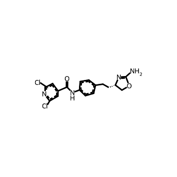 NC1=N[C@@H](CCc2ccc(NC(=O)c3cc(Cl)nc(Cl)c3)cc2)CO1